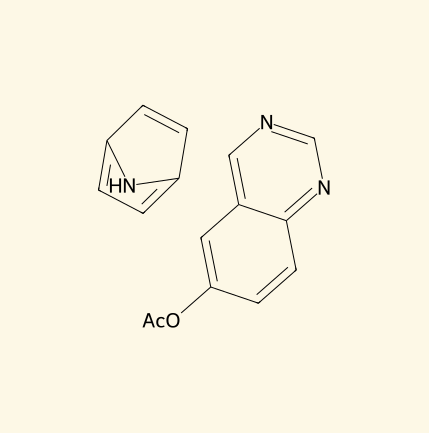 CC(=O)Oc1ccc2ncncc2c1.c1cc2ccc1[nH]2